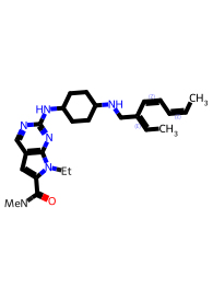 C\C=C/C=C\C(=C/C)CNC1CCC(Nc2ncc3cc(C(=O)NC)n(CC)c3n2)CC1